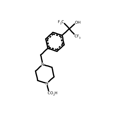 O=C(O)N1CCN(Cc2ccc(C(O)(C(F)(F)F)C(F)(F)F)cc2)CC1